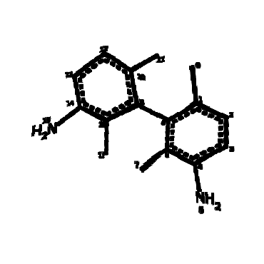 Cc1ccc(N)c(C)c1-c1c(C)ccc(N)c1C